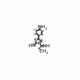 CCC(=N)n1nc(-c2ccc(N)cc2)sc1=N